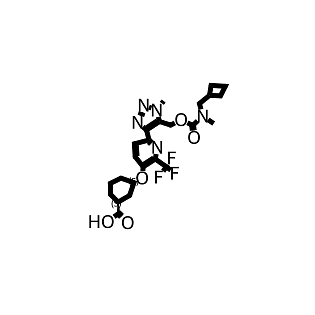 CN(CC1CCC1)C(=O)OCc1c(-c2ccc(O[C@H]3CCC[C@H](C(=O)O)C3)c(C(F)(F)F)n2)nnn1C